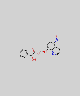 O=Nc1ccc(OCOC(=O)[C@@H](O)c2ccccc2)c2ncccc12